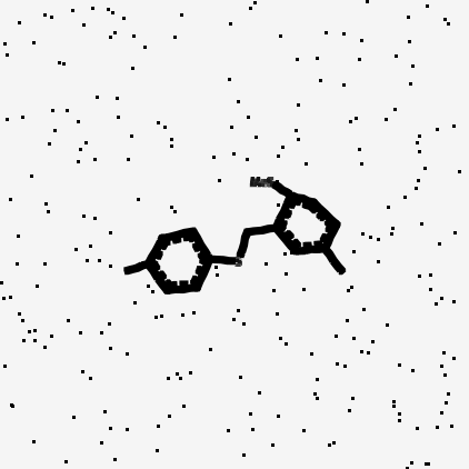 CSc1ccc(C)cc1CSc1ccc(C)cc1